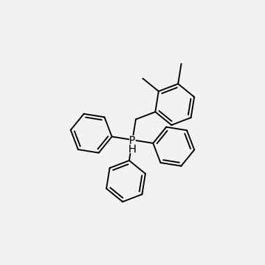 Cc1cccc(C[PH](c2ccccc2)(c2ccccc2)c2ccccc2)c1C